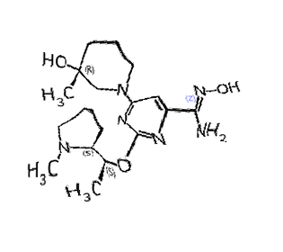 C[C@H](Oc1nc(/C(N)=N/O)cc(N2CCC[C@@](C)(O)C2)n1)[C@@H]1CCCN1C